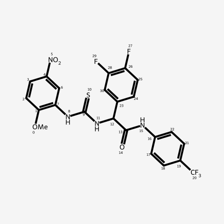 COc1ccc([N+](=O)[O-])cc1NC(=S)NC(C(=O)Nc1ccc(C(F)(F)F)cc1)c1ccc(F)c(F)c1